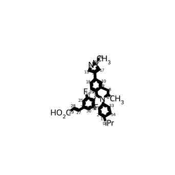 CC(C)c1ccc(N2C(C)Cc3cc(-c4cnn(C)c4)ccc3[C@H]2c2c(F)cc(/C=C/C(=O)O)cc2F)cc1